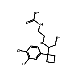 CCCC(=O)NCCNC(CC(C)C)C1(c2ccc(Cl)c(Cl)c2)CCC1